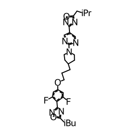 CCC(C)c1nc(-c2c(F)cc(OCCCC3CCN(c4ncc(-c5noc(CC(C)C)n5)cn4)CC3)cc2F)no1